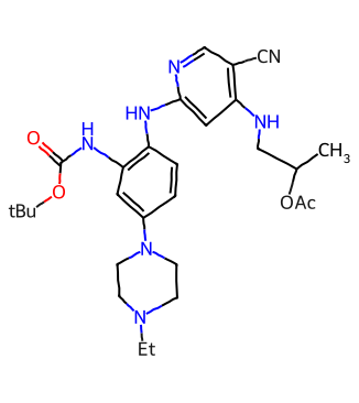 CCN1CCN(c2ccc(Nc3cc(NCC(C)OC(C)=O)c(C#N)cn3)c(NC(=O)OC(C)(C)C)c2)CC1